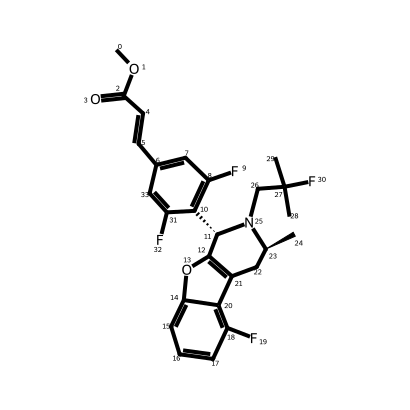 COC(=O)/C=C/c1cc(F)c([C@H]2c3oc4cccc(F)c4c3C[C@H](C)N2CC(C)(C)F)c(F)c1